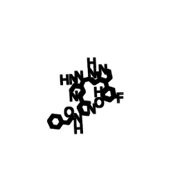 O=C(CC1CCCCC1)Nc1cncc(-c2cc3c(-c4cc5c(-c6cc(O)cc(F)c6)ccnc5[nH]4)n[nH]c3cn2)c1